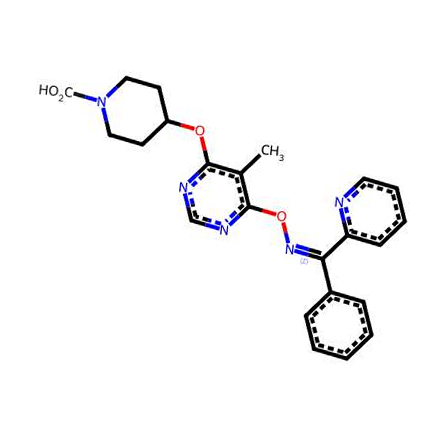 Cc1c(O/N=C(/c2ccccc2)c2ccccn2)ncnc1OC1CCN(C(=O)O)CC1